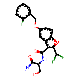 NC(=O)C(CO)NC(=O)c1c(C(F)F)oc2ccc(OCc3ccccc3F)cc12